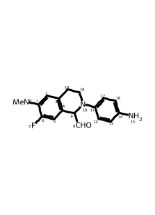 CNc1cc2c(cc1F)C(C=O)N(c1ccc(N)cc1)CC2